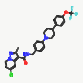 Cc1nn2ccc(Cl)cc2c1C(=O)NCc1ccc(N2CCC(c3ccc(OC(F)(F)F)cc3)CC2)cc1